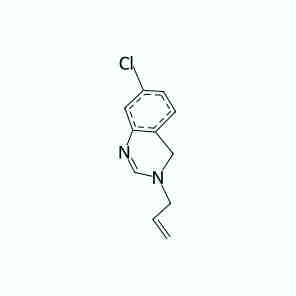 C=CCN1C=Nc2cc(Cl)ccc2C1